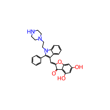 O=C1/C(=C/c2c(-c3ccccc3)n(CCN3CCNCC3)c3ccccc23)Oc2cc(O)cc(O)c21